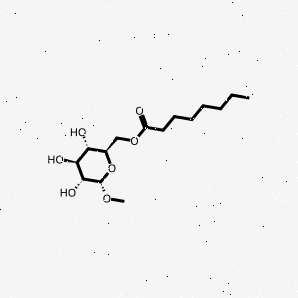 CCCCCCCC(=O)OC[C@H]1O[C@H](OC)[C@H](O)[C@@H](O)[C@@H]1O